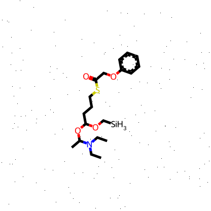 CCN(CC)C(C)OC(CCCSC(=O)COc1ccccc1)OC[SiH3]